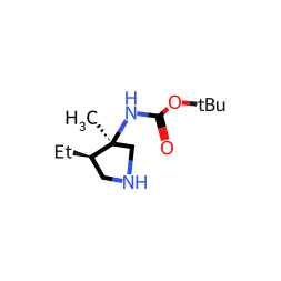 CC[C@@H]1CNC[C@]1(C)NC(=O)OC(C)(C)C